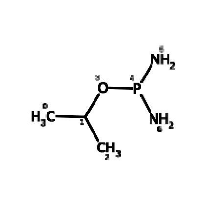 CC(C)OP(N)N